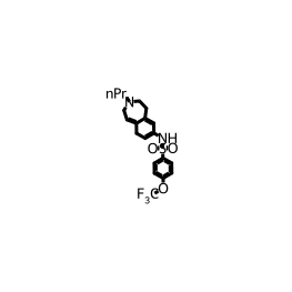 CCCN1CC=C2CC=C(NS(=O)(=O)c3ccc(OC(F)(F)F)cc3)C=C2CC1